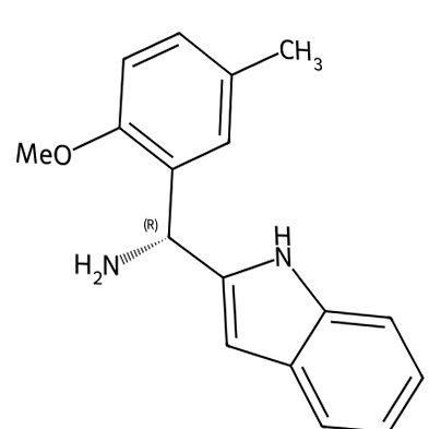 COc1ccc(C)cc1[C@@H](N)c1cc2ccccc2[nH]1